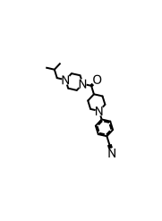 CC(C)CN1CCN(C(=O)C2CCN(c3ccc(C#N)cc3)CC2)CC1